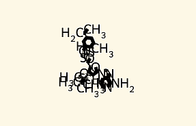 C=C(C)[C@H]1CC[C@@]2(C)S[P@](=S)(OC[C@H]3O[C@@H](n4cnc5c(N)ncnc54)C[C@@H]3O[Si](C)(C)C(C)(C)C)O[C@@H]2C1